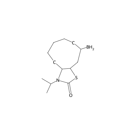 BC1CCCCCC2C(C1)SC(=O)N2C(C)C